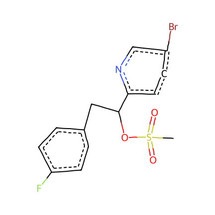 CS(=O)(=O)OC(Cc1ccc(F)cc1)c1ccc(Br)cn1